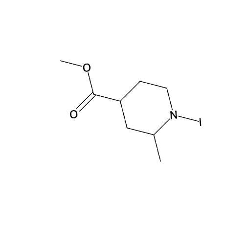 COC(=O)C1CCN(I)C(C)C1